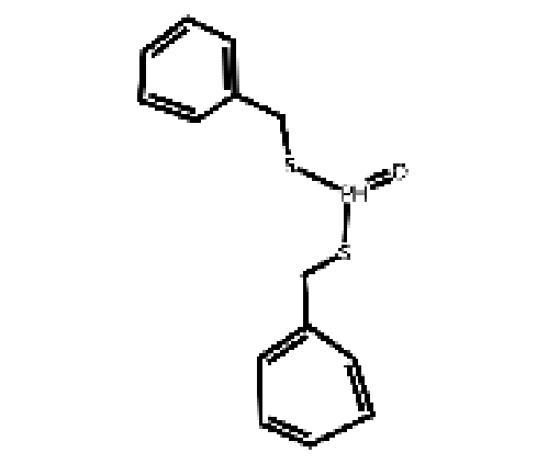 O=[PH](SCc1ccccc1)SCc1ccccc1